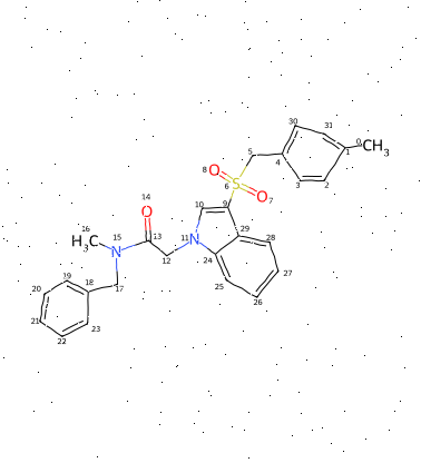 Cc1ccc(CS(=O)(=O)c2cn(CC(=O)N(C)Cc3ccccc3)c3ccccc23)cc1